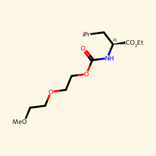 CCOC(=O)[C@H](CC(C)C)NC(=O)OCCOCCOC